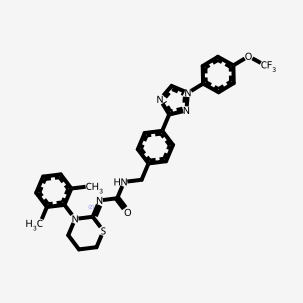 Cc1cccc(C)c1N1CCCS/C1=N\C(=O)NCc1ccc(-c2ncn(-c3ccc(OC(F)(F)F)cc3)n2)cc1